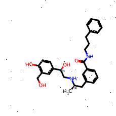 C[C@H](Cc1cccc(C(=O)NCCCc2ccccc2)c1)NC[C@H](O)c1ccc(O)c(CO)c1